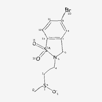 C[S+]([O-])CCN1Cc2cc(Br)ccc2S1(=O)=O